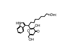 CCCCCCCCCCCCCCCCCC(c1oc(CO)cc(=O)c1O)c1c[nH]c2ccccc12